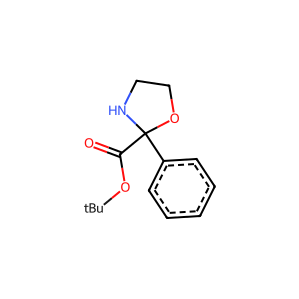 CC(C)(C)OC(=O)C1(c2ccccc2)NCCO1